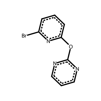 Brc1cccc(Oc2ncccn2)n1